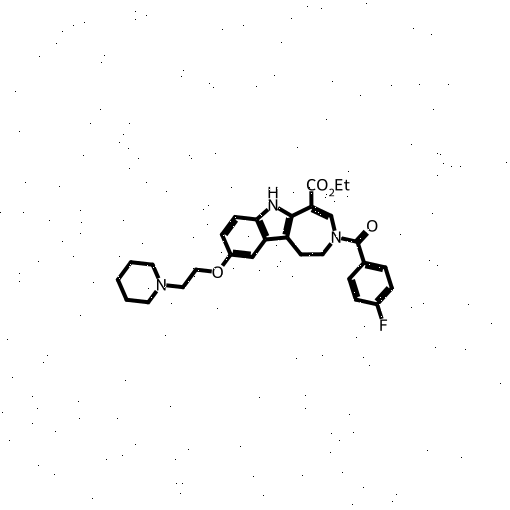 CCOC(=O)C1=CN(C(=O)c2ccc(F)cc2)CCc2c1[nH]c1ccc(OCCN3CCCCC3)cc21